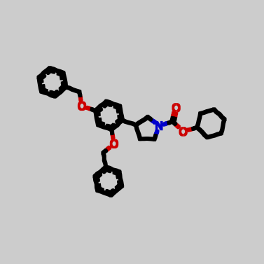 O=C(OC1CCCCC1)N1CCC(c2ccc(OCc3ccccc3)cc2OCc2ccccc2)C1